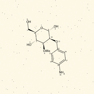 CO[C@H]1[C@H](O)[C@@H](CO)O[C@H](O)[C@H]1Oc1ccc(N)cc1